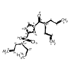 C=CCN(CC=C)C(=O)n1cnc(S(=O)(=O)N(CC)CC=C)n1